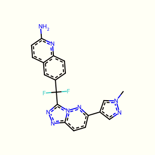 Cn1cc(-c2ccc3nnc(C(F)(F)c4ccc5nc(N)ccc5c4)n3n2)cn1